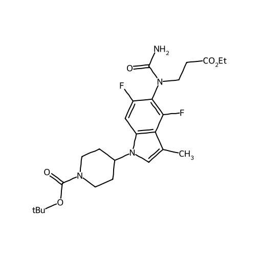 CCOC(=O)CCN(C(N)=O)c1c(F)cc2c(c(C)cn2C2CCN(C(=O)OC(C)(C)C)CC2)c1F